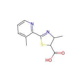 Cc1cccnc1C1=NC(C)C(C(=O)O)S1